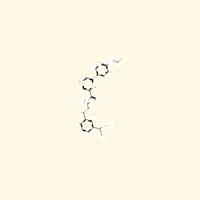 CCOc1ccc(-c2cncc(C(=O)NCCc3cccc(C(C)O)c3)n2)cn1